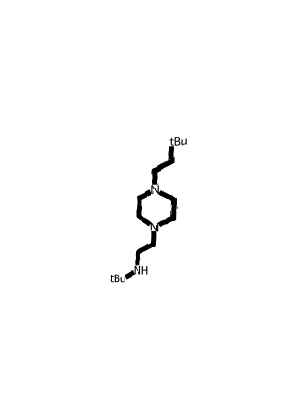 CC(C)(C)CCN1CCN(CCNC(C)(C)C)CC1